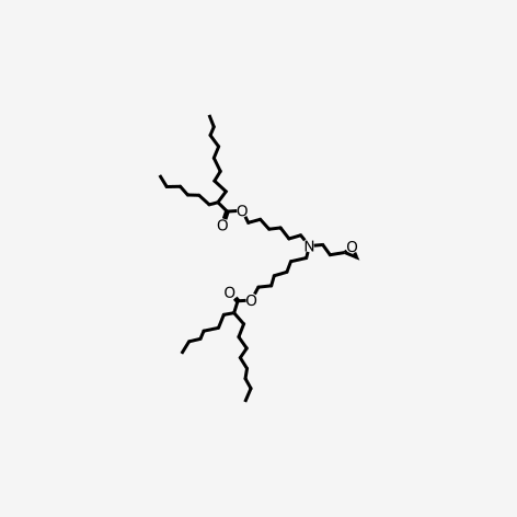 CCCCCCCCC(CCCCCC)C(=O)OCCCCCCN(CCCCCCOC(=O)C(CCCCCC)CCCCCCCC)CCC1CO1